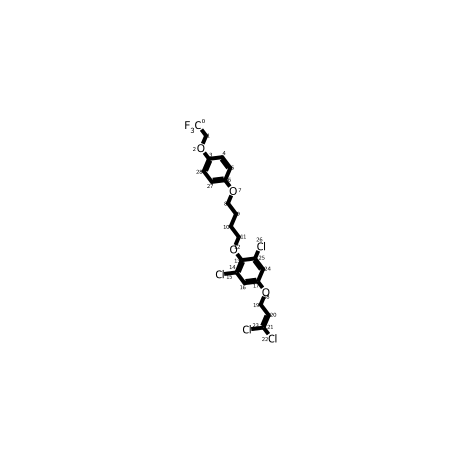 FC(F)(F)COc1ccc(OCCCCOc2c(Cl)cc(OCC=C(Cl)Cl)cc2Cl)cc1